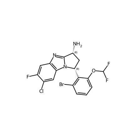 N[C@@H]1C[C@H](c2c(Br)cccc2OC(F)F)n2c1nc1cc(F)c(Cl)cc12